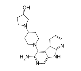 Nc1ncc2[nH]c3ncccc3c2c1N1CCC(N2CC[C@@H](O)C2)CC1